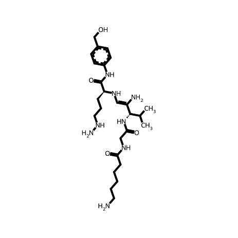 CC(C)[C@H](NC(=O)CNC(=O)CCCCCN)/C(N)=C/N[C@@H](CCCNN)C(=O)Nc1ccc(CO)cc1